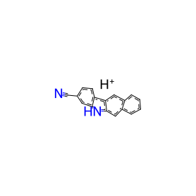 N#Cc1ccc2c(c1)[nH]c1cc3ccccc3cc12.[H+]